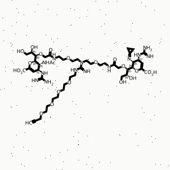 C#CCOCCOCCOCCOCCNC(=N)N(CCOCCNC(=O)CO[C@@H]([C@@H]1OC(C(=O)O)=C[C@H](NC(=N)N)[C@H]1N=C1CC1)[C@H](O)CO)CCOCCNC(=O)CO[C@@H]([C@@H]1OC(C(=O)O)=C[C@H](NC(=N)N)[C@H]1NC(C)=O)[C@H](O)CO